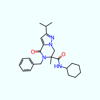 CC(C)c1cc2n(n1)CC(C)(C(=O)NC1CCCCC1)N(Cc1ccccc1)C2=O